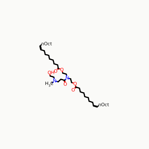 CCCCCCCC/C=C\CCCCCCCC(=O)OCCN(CCOC(=O)CCCCCCC/C=C\CCCCCCCC)C(=O)CCN(C)CCO